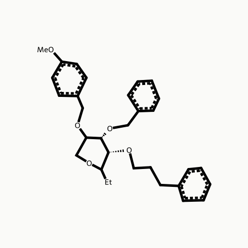 CCC1OCC(OCc2ccc(OC)cc2)[C@H](OCc2ccccc2)[C@@H]1OCCCc1ccccc1